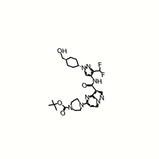 CC(C)(C)OC(=O)N1CCN(c2ccn3ncc(C(=O)Nc4cn([C@H]5CC[C@H](CO)CC5)nc4C(F)F)c3n2)CC1